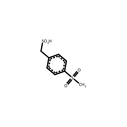 CS(=O)(=O)c1ccc(CS(=O)(=O)O)cc1